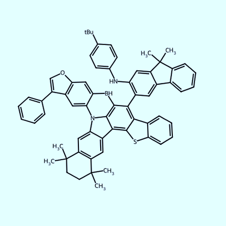 CC(C)(C)c1ccc(Nc2cc3c(cc2-c2c4c5c(c6cc7c(cc6n5-c5cc6c(-c8ccccc8)coc6cc5B4)C(C)(C)CCC7(C)C)c4sc5ccccc5c24)-c2ccccc2C3(C)C)cc1